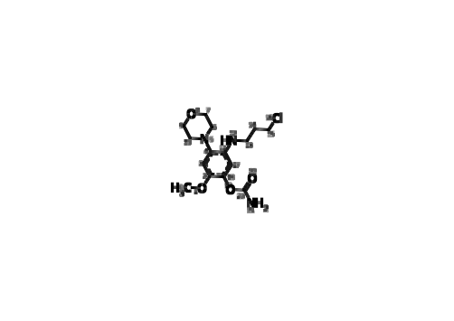 COc1cc(N2CCOCC2)c(NCCCCl)cc1OC(N)=O